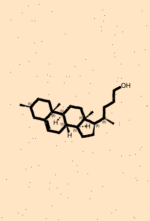 C[C@H]1CC[C@@]2(C)C(=CC[C@H]3[C@@H]4CC[C@H]([C@H](C)CCCO)[C@@]4(C)CC[C@@H]32)C1